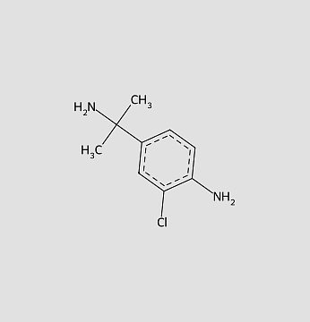 CC(C)(N)c1ccc(N)c(Cl)c1